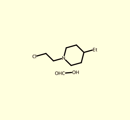 CCC1CCN(CCCl)CC1.O=CO